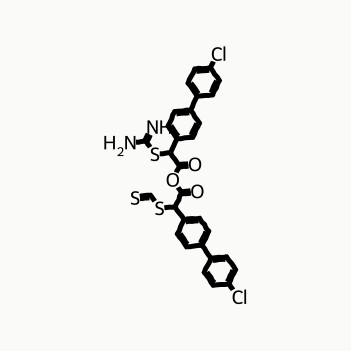 N=C(N)SC(C(=O)OC(=O)C(SC=S)c1ccc(-c2ccc(Cl)cc2)cc1)c1ccc(-c2ccc(Cl)cc2)cc1